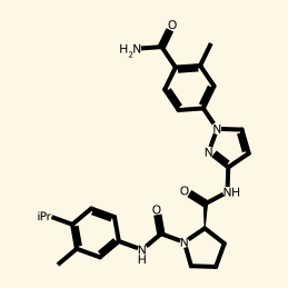 Cc1cc(-n2ccc(NC(=O)[C@H]3CCCN3C(=O)Nc3ccc(C(C)C)c(C)c3)n2)ccc1C(N)=O